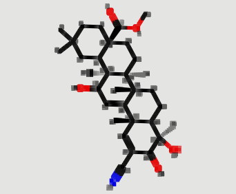 COC(=O)[C@]12CCC(C)(C)CC1[C@@H]1C(=O)C=C3[C@@]4(C)C=C(C#N)C(=O)[C@](C)(O)C4CC[C@@]3(C)[C@]1(C)CC2